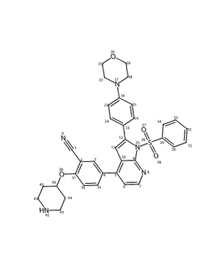 N#Cc1cc(-c2ccnc3c2cc(-c2ccc(N4CCOCC4)cc2)n3S(=O)(=O)c2ccccc2)ccc1OC1CCNCC1